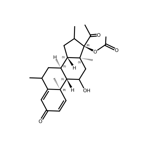 CC(=O)O[C@]1(C(C)=O)C(C)C[C@H]2[C@@H]3CC(C)C4=CC(=O)C=C[C@]4(C)[C@H]3C(O)C[C@@]21C